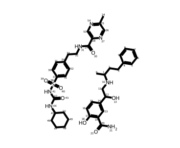 CC(CCc1ccccc1)NCC(O)c1ccc(O)c(C(N)=O)c1.Cc1cnc(C(=O)NCCc2ccc(S(=O)(=O)NC(=O)NC3CCCCC3)cc2)cn1